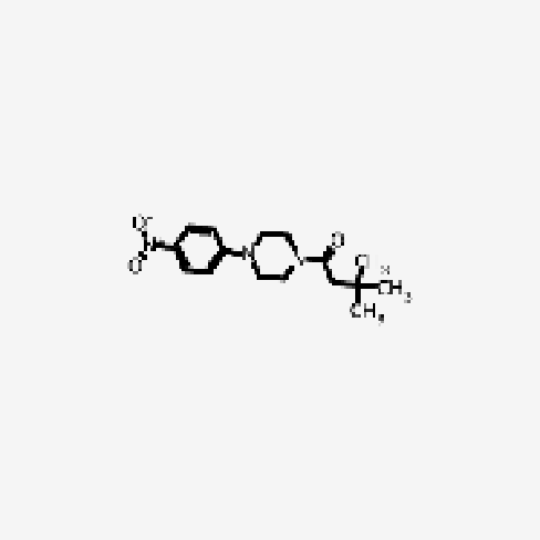 CC(C)(C)CC(=O)N1CCN(c2ccc([N+](=O)[O-])cc2)CC1